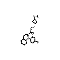 N[C@H]1C[C@H](COC(=O)N2CCc3ccccc3[C@@H]2c2ccc(F)cc2)C1